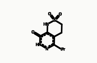 CC(C)c1n[nH]c(=O)c2c1CCS(=O)(=O)N2